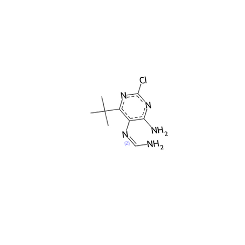 CC(C)(C)c1nc(Cl)nc(N)c1/N=C\N